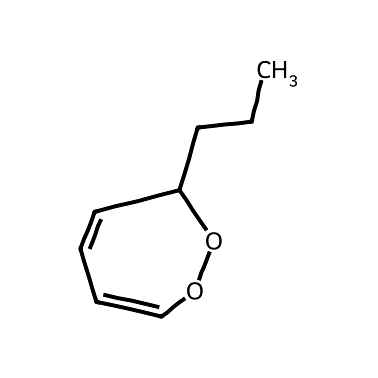 CCCC1C=CC=COO1